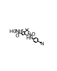 CC1(C)CN(C(=O)Nc2ccc(C#N)cc2)Cc2cc(C(=O)NO)sc21